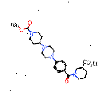 CCOC(=O)C1CCCN(C(=O)c2ccc(N3CCN(C4CCN(C(=O)OC(C)(C)C)CC4)CC3)cc2)C1